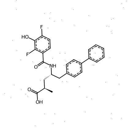 C[C@H](C[C@@H](Cc1ccc(-c2ccccc2)cc1)NC(=O)c1ccc(F)c(O)c1F)C(=O)O